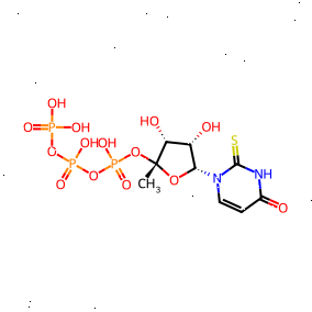 C[C@]1(OP(=O)(O)OP(=O)(O)OP(=O)(O)O)O[C@@H](n2ccc(=O)[nH]c2=S)[C@@H](O)[C@H]1O